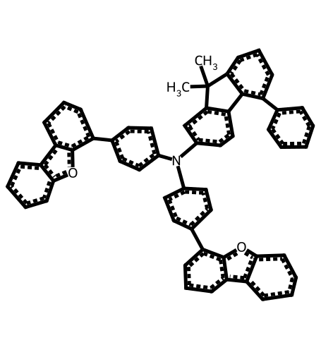 CC1(C)c2cc(N(c3ccc(-c4cccc5c4oc4ccccc45)cc3)c3ccc(-c4cccc5c4oc4ccccc45)cc3)ccc2-c2c(-c3ccccc3)cccc21